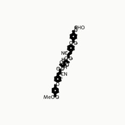 COC(=O)c1ccc(COc2ccc(/C=C(\C#N)C(=O)O[C@@H]3CO[C@H]4[C@@H]3OC[C@@H]4OC(=O)/C(C#N)=C/c3ccc(OC(=O)c4ccc(COC=O)cc4)cc3)cc2)cc1